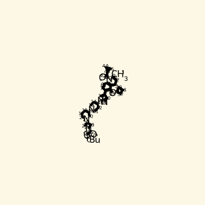 C[C@H]1CCc2c(ccc(-c3cnn(C4CCN(C5CCCN(C6CN(C(=O)OC(C)(C)C)C6)C5)CC4)c3)c2OC2CCC2)N1C(=O)C1CC1